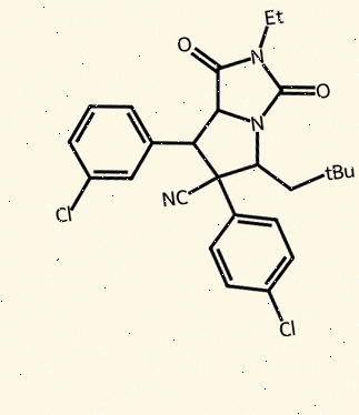 CCN1C(=O)C2C(c3cccc(Cl)c3)C(C#N)(c3ccc(Cl)cc3)C(CC(C)(C)C)N2C1=O